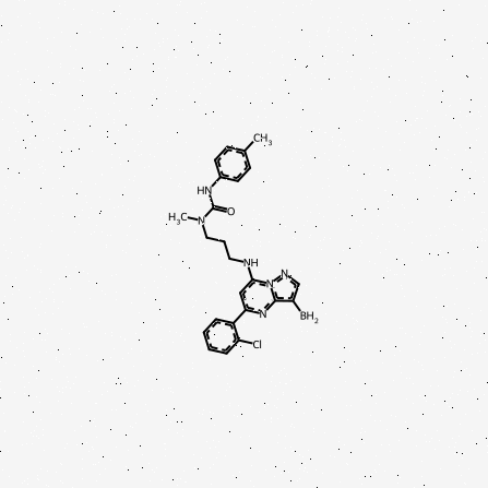 Bc1cnn2c(NCCCN(C)C(=O)Nc3ccc(C)cc3)cc(-c3ccccc3Cl)nc12